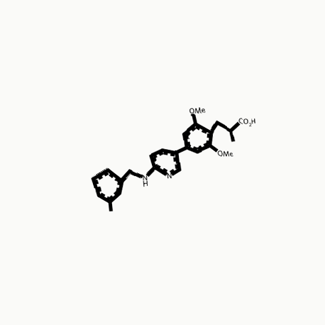 COc1cc(-c2ccc(NCc3cccc(C)c3)nc2)cc(OC)c1CC(C)C(=O)O